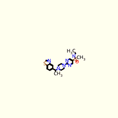 CCN=S(C)(=O)c1cnc(N2CCN(C(C)c3ccc4scnc4c3)CC2)nc1